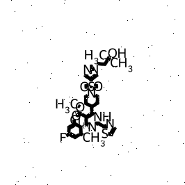 COC(=O)C1=C(C2CCN(S(=O)(=O)c3cnn(CCC(C)(C)O)c3)CC2)NC(c2nccs2)=N[C@@H]1C1C(Cl)=CC(F)=CC1C